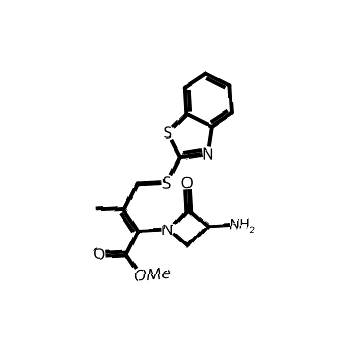 COC(=O)C(=C(C)CSc1nc2ccccc2s1)N1CC(N)C1=O